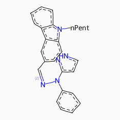 CCCCCn1c2ccccc2c2cc(/C=N\N(c3ccccc3)c3cc[nH]n3)ccc21